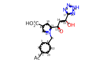 CC(=O)c1ccc(Cn2cc(C(=O)O)cc2C(=O)C=C(O)c2nn[nH]n2)cc1